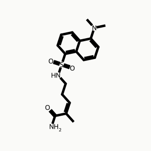 C/C(=C/CCNS(=O)(=O)c1cccc2c(N(C)C)cccc12)C(N)=O